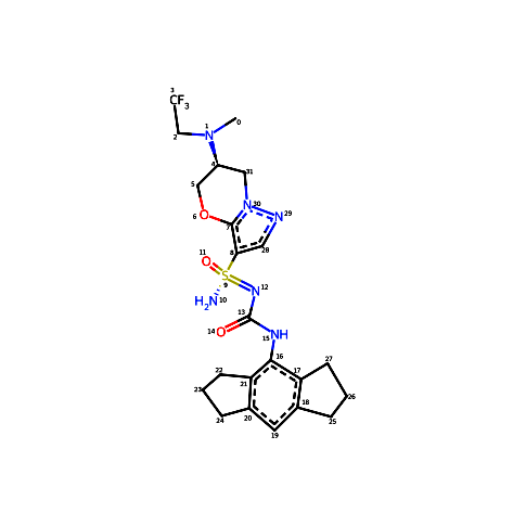 CN(CC(F)(F)F)[C@@H]1COc2c([S@](N)(=O)=NC(=O)Nc3c4c(cc5c3CCC5)CCC4)cnn2C1